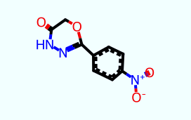 O=C1COC(c2ccc([N+](=O)[O-])cc2)=NN1